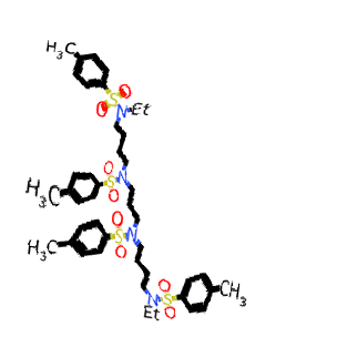 CCN(CCCCN(CCCN(CCCCN(CC)S(=O)(=O)c1ccc(C)cc1)S(=O)(=O)c1ccc(C)cc1)S(=O)(=O)c1ccc(C)cc1)S(=O)(=O)c1ccc(C)cc1